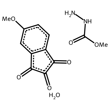 COC(=O)NN.COc1ccc2c(=O)c(=O)c(=O)c2c1.O